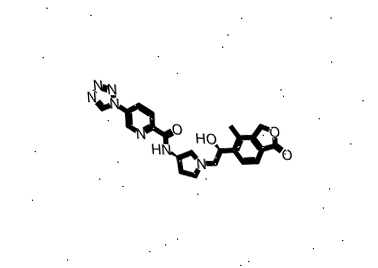 Cc1c([C@H](O)CN2CC[C@@H](NC(=O)c3ccc(-n4cnnn4)cn3)C2)ccc2c1COC2=O